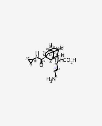 NC/C=C/CN(C(=O)O)[C@H]1[C@@H]2C[C@@H]3C[C@H]1C[C@@](C(=O)NC1CC1)(C3)C2